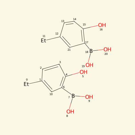 CCc1ccc(O)c(B(O)O)c1.CCc1ccc(O)c(B(O)O)c1